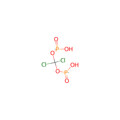 O=[P](O)OC(Cl)(Cl)O[P](=O)O